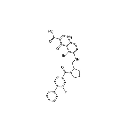 O=C(O)c1c[nH]c2ccc(NCC3CCCN3C(=O)c3ccc(-c4ccccc4)c(F)c3)c(Br)c2c1=O